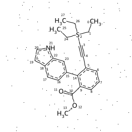 CCS(C#Cc1cccc(C(=O)OC)c1-c1ccc2cc[nH]c2c1)(CC)CC